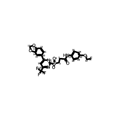 O=C(CCS(=O)(=O)c1nc(-c2ccc3c(c2)OCO3)cc(C(F)(F)F)n1)Nc1ccc(OCF)cc1